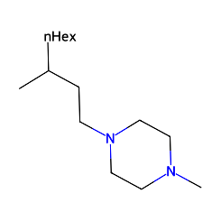 CCCCCCC(C)CCN1CCN(C)CC1